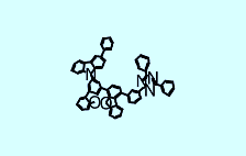 c1ccc(-c2ccc3c(c2)c2ccccc2n3-c2cc(-c3ccc(-c4cccc(-c5nc(-c6ccccc6)nc(-c6ccccc6)n5)c4)c4c3oc3ccccc34)c3oc4ccccc4c3c2)cc1